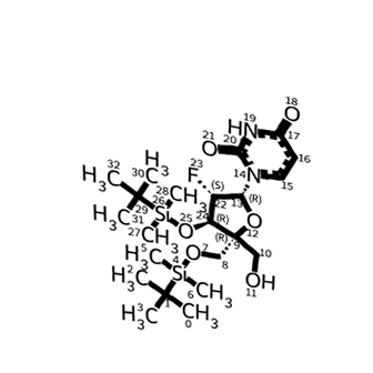 CC(C)(C)[Si](C)(C)OC[C@@]1(CO)O[C@@H](n2ccc(=O)[nH]c2=O)[C@@H](F)[C@@H]1O[Si](C)(C)C(C)(C)C